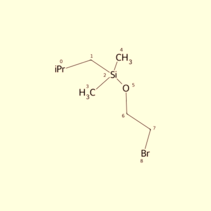 CC(C)C[Si](C)(C)OCCBr